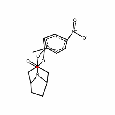 CC(C)(C)OC(=O)N1C2CCC1CC(Oc1ccc([N+](=O)[O-])cc1)C2